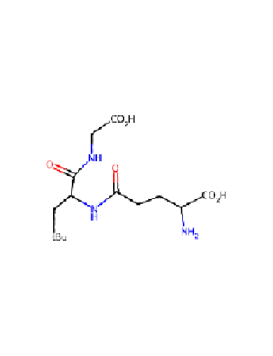 CC(C)(C)CC(NC(=O)CCC(N)C(=O)O)C(=O)NCC(=O)O